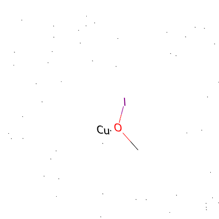 COI.[Cu]